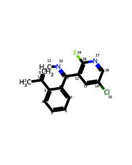 C=C(C)c1ccccc1/C(=N\C)c1cc(Cl)cnc1F